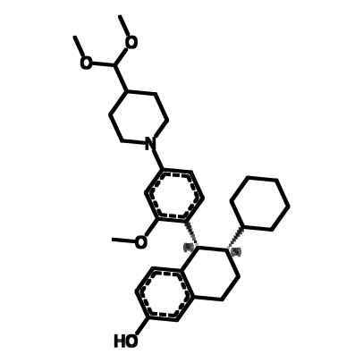 COc1cc(N2CCC(C(OC)OC)CC2)ccc1[C@H]1c2ccc(O)cc2CC[C@H]1C1CCCCC1